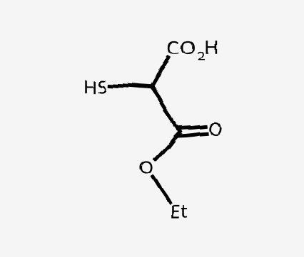 CCOC(=O)C(S)C(=O)O